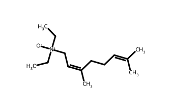 CC[N+]([O-])(CC)CC=C(C)CCC=C(C)C